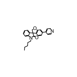 CCCCCN1C(=O)C2(COc3cc(-c4ccncc4)ccc32)c2ccccc21